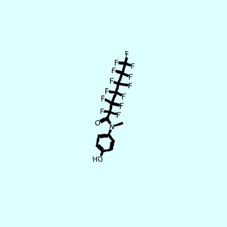 CN(C(=O)C(F)(F)C(F)(F)C(F)(F)C(F)(F)C(F)(F)C(F)(F)F)c1ccc(O)cc1